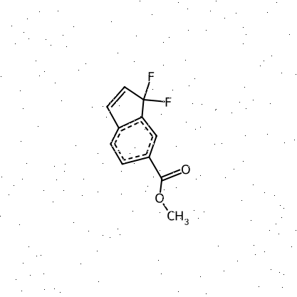 COC(=O)c1ccc2c(c1)C(F)(F)C=C2